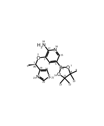 C[C@@H](Oc1cc(B2OC(C)(C)C(C)(C)O2)cnc1N)c1cscn1